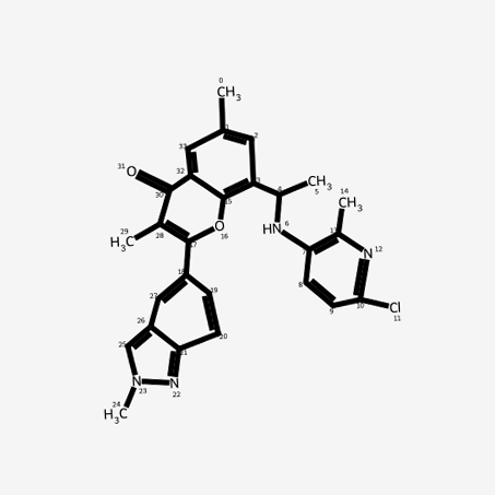 Cc1cc(C(C)Nc2ccc(Cl)nc2C)c2oc(-c3ccc4nn(C)cc4c3)c(C)c(=O)c2c1